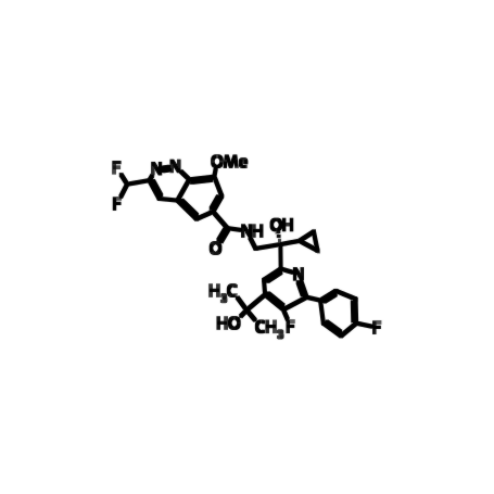 COc1cc(C(=O)NC[C@](O)(c2cc(C(C)(C)O)c(F)c(-c3ccc(F)cc3)n2)C2CC2)cc2cc(C(F)F)nnc12